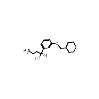 [2H]C(O)(CCN)c1cccc(OCC2CCCCC2)c1